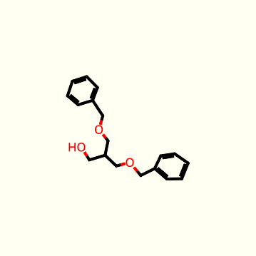 OCC(COCc1ccccc1)COCc1ccccc1